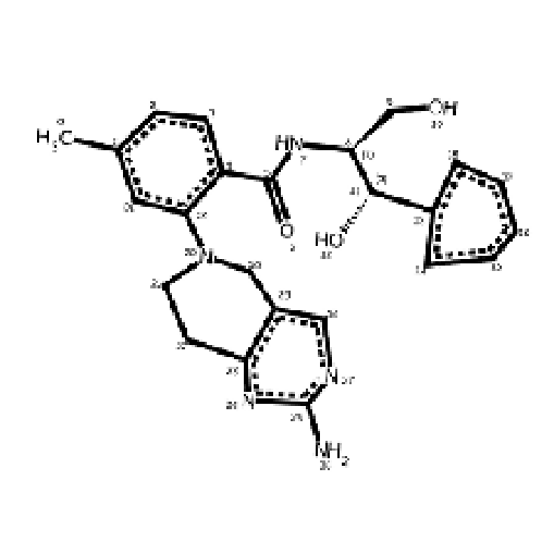 Cc1ccc(C(=O)N[C@@H](CO)[C@@H](O)c2ccccc2)c(N2CCc3nc(N)ncc3C2)c1